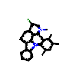 Cc1cc(C)c2c(c1C)c1c3c(ccc4c5ccccc5n2c43)c(F)c[n+]1C